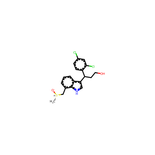 C[S@+]([O-])Cc1cccc2c(C(CCO)c3ccc(Cl)cc3Cl)c[nH]c12